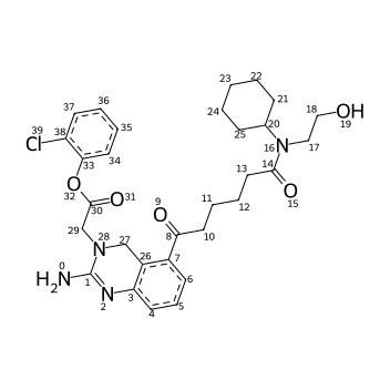 NC1=Nc2cccc(C(=O)CCCCC(=O)N(CCO)C3CCCCC3)c2CN1CC(=O)Oc1ccccc1Cl